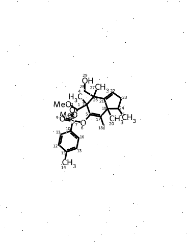 COC(OC)C1(C)C(OS(=O)(=O)c2ccc(C)cc2)=C(I)C2(C)C(=CCC2C)C1(C)CO